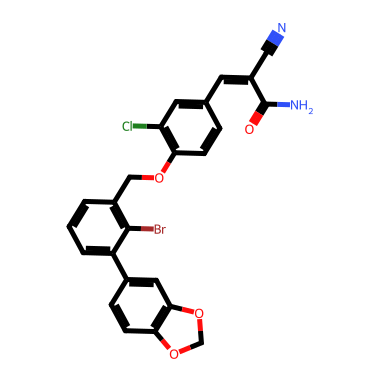 N#CC(=Cc1ccc(OCc2cccc(-c3ccc4c(c3)OCO4)c2Br)c(Cl)c1)C(N)=O